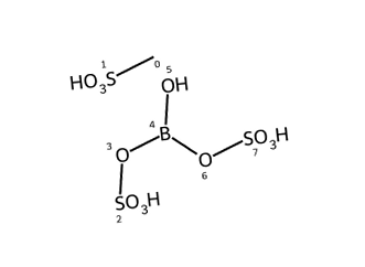 CS(=O)(=O)O.O=S(=O)(O)OB(O)OS(=O)(=O)O